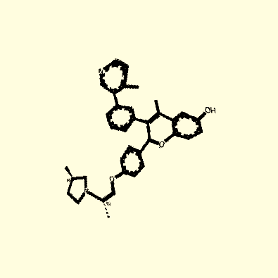 CC1=C(c2cccc(-c3cnccc3C)c2)C(c2ccc(OC[C@H](C)N3CC[C@@H](C)C3)cc2)Oc2ccc(O)cc21